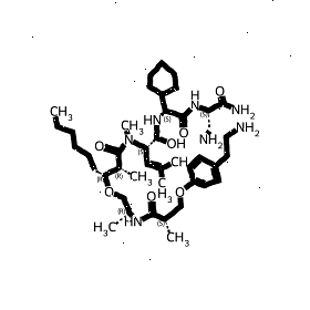 CCCCCC[C@@H](OC[C@@H](C)NC(=O)[C@@H](C)COc1ccc(CCN)cc1)[C@@H](C)C(=O)N(C)[C@@H](C=C(C)C)C(O)N[C@H](C(=O)N[C@@H](CN)C(N)=O)C1CCCCC1